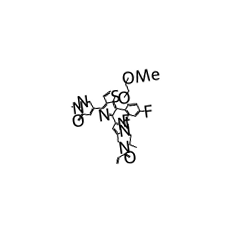 C=CC(=O)N1Cc2cc(-c3nc(-c4cnn(C)c(=O)c4)c4ccsc4c3-c3c(F)cc(F)cc3OCCOC)nn2CC1C